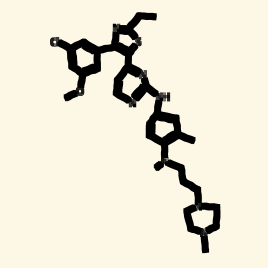 CCc1nc(-c2cc(Cl)cc(OC)c2)c(-c2ccnc(Nc3ccc(N(C)CCCN4CCN(C)CC4)c(C)c3)n2)s1